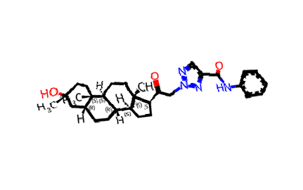 C[C@@]1(O)CC[C@@]2(C)[C@H](CC[C@@H]3[C@@H]2CC[C@]2(C)[C@@H](C(=O)Cn4ncc(C(=O)Nc5ccccc5)n4)CC[C@@H]32)C1